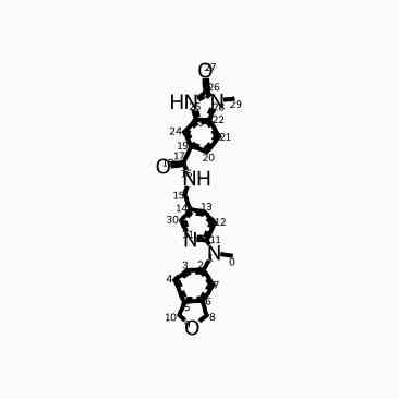 CN(c1ccc2c(c1)COC2)c1ccc(CNC(=O)c2ccc3c(c2)[nH]c(=O)n3C)cn1